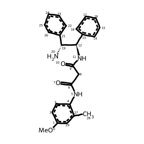 COc1ccc(NC(=O)CC(=O)N[C@H](c2ccccc2)[C@H](N)c2ccccc2)c(C)c1